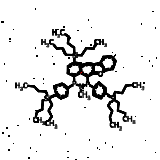 CCCC[Si](CCCC)(CCCC)c1ccc(P(c2ccc([Si](CCCC)(CCCC)CCCC)cc2)N(C)P(c2ccc([Si](CCCC)(CCCC)CCCC)cc2)c2cccc3c2oc2ccccc23)cc1